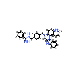 N=C(NCc1ccc(CN(Cc2nc3ccccc3[nH]2)C2C=C3C=CC=NC3CC2)cc1)c1ccccc1